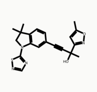 Cc1cc(C(C)(O)C#Cc2ccc3c(c2)N(c2ncns2)CC3(C)C)no1